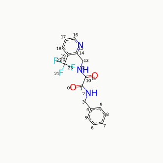 O=C(NCc1ccccc1)C(=O)NCc1ncccc1C(F)(F)F